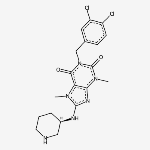 Cn1c(N[C@@H]2CCCNC2)nc2c1c(=O)n(Cc1ccc(Cl)c(Cl)c1)c(=O)n2C